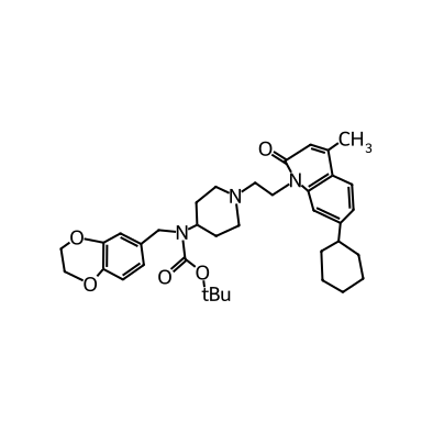 Cc1cc(=O)n(CCN2CCC(N(Cc3ccc4c(c3)OCCO4)C(=O)OC(C)(C)C)CC2)c2cc(C3CCCCC3)ccc12